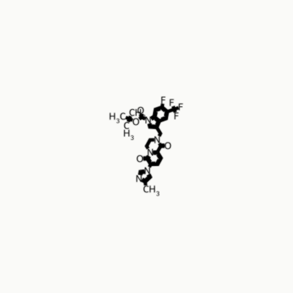 Cc1cn(-c2ccc3n(c2=O)CCN(Cc2cn(C(=O)OC(C)(C)C)c4cc(F)c(C(F)(F)F)cc24)C3=O)cn1